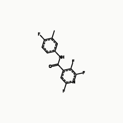 Cc1cc(NC(=O)c2cc(F)nc(F)c2F)ccc1F